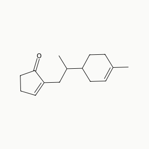 CC1=CCC(C(C)CC2=CCCC2=O)CC1